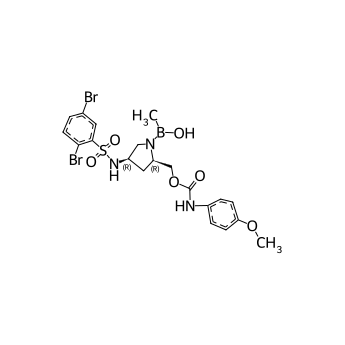 COc1ccc(NC(=O)OC[C@H]2C[C@@H](NS(=O)(=O)c3cc(Br)ccc3Br)CN2B(C)O)cc1